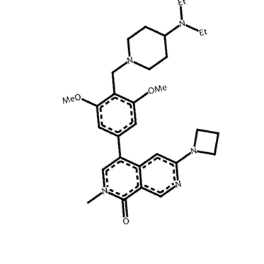 CCN(CC)C1CCN(Cc2c(OC)cc(-c3cn(C)c(=O)c4cnc(N5CCC5)cc34)cc2OC)CC1